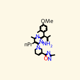 C=C(C)/C(=C1/N=C(C)C(CCC)=C(N2CCC=C(c3nc(C)no3)C2)N1N)c1ccc(OC)cc1C